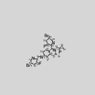 Cc1c(N=Cc2ncc(Br)cc2F)ccc2c1C[C@@H](C)N(CC1(F)CC1)[C@@H]2c1ncc(Br)cc1F